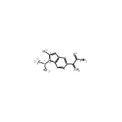 C=C(C(N)=O)c1ccc2c(c1)cc(CC)n2N(C)C